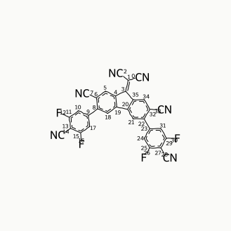 N#CC(C#N)=C1c2cc(C#N)c(-c3cc(F)c(C#N)c(F)c3)cc2-c2cc(-c3cc(F)c(C#N)c(F)c3)c(C#N)cc21